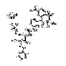 CCCC[C@]1(CC)CS(=O)(=O)c2ccc(N(C)C)cc2C(c2cccc(NC(=O)NC3OC(COS(=O)(=O)[O-])C(O)C(OCc4ccccc4)C3O)c2)C1O.CCO.O.[K+]